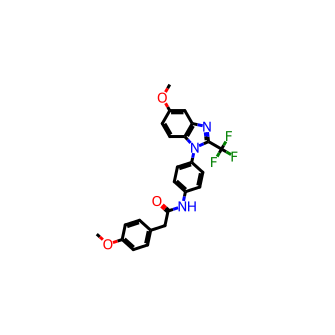 COc1ccc(CC(=O)Nc2ccc(-n3c(C(F)(F)F)nc4cc(OC)ccc43)cc2)cc1